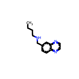 CCCCNCc1ccc2nccnc2c1